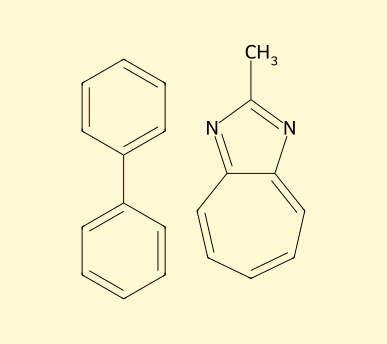 Cc1nc2cccccc-2n1.c1ccc(-c2ccccc2)cc1